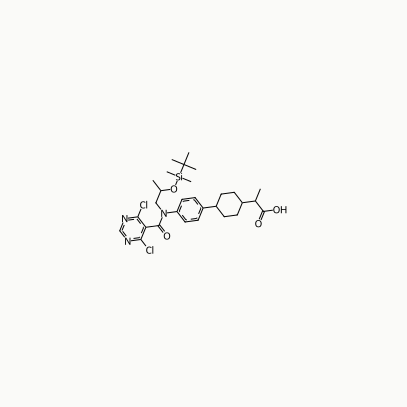 CC(CN(C(=O)c1c(Cl)ncnc1Cl)c1ccc(C2CCC(C(C)C(=O)O)CC2)cc1)O[Si](C)(C)C(C)(C)C